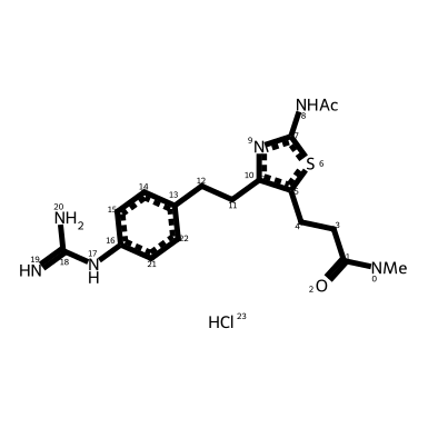 CNC(=O)CCc1sc(NC(C)=O)nc1CCc1ccc(NC(=N)N)cc1.Cl